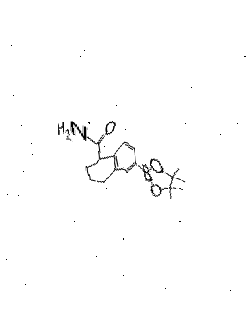 CC1(C)OB(c2ccc3c(c2)CCCC3C(N)=O)OC1(C)C